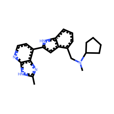 Cc1nc2c(-c3cc4c(CN(C)C5CCCC5)cccc4[nH]3)ccnc2[nH]1